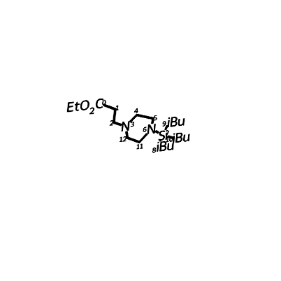 CCOC(=O)CCN1CCN([Si](C(C)CC)(C(C)CC)C(C)CC)CC1